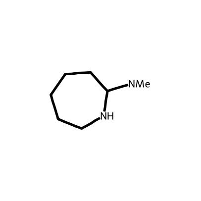 CNC1CCCCCN1